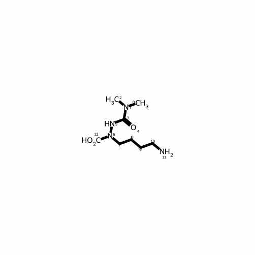 CN(C)C(=O)NN(CCCCN)C(=O)O